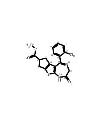 COC(=O)C1Cc2sc3c(c2C1)C(c1ccccc1Cl)=NCC(=O)N3